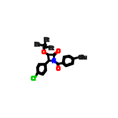 CC[Si](CC)(CC)OC1C(=O)N(C(=O)c2ccc(C(C)(C)C)cc2)C1c1ccc(Cl)cc1